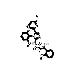 COc1cccc(-c2nnc(NS(=O)(=O)[C@@H](C)[C@H](O)c3ccccc3OC)n2-c2c(OC)cccc2OC)n1